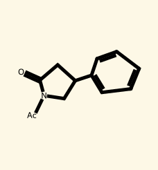 CC(=O)N1CC(c2ccccc2)CC1=O